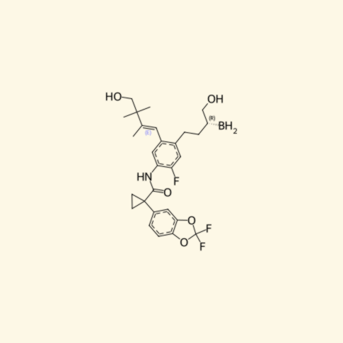 B[C@@H](CO)CCc1cc(F)c(NC(=O)C2(c3ccc4c(c3)OC(F)(F)O4)CC2)cc1/C=C(\C)C(C)(C)CO